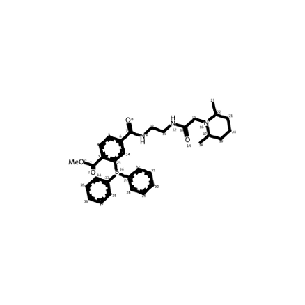 COC(=O)c1ccc(C(=O)NCCNC(=O)CN2C(C)CCCC2C)cc1P(c1ccccc1)c1ccccc1